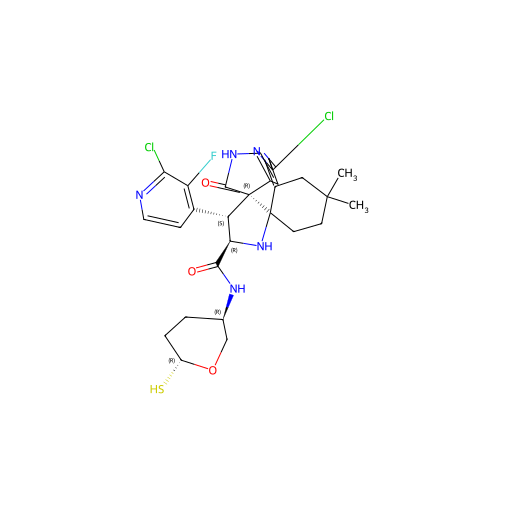 CC1(C)CCC2(CC1)N[C@@H](C(=O)N[C@@H]1CC[C@@H](S)OC1)[C@H](c1ccnc(Cl)c1F)[C@]21C(=O)Nc2nc(Cl)ccc21